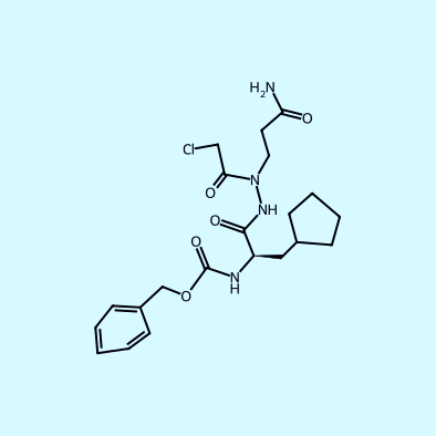 NC(=O)CCN(NC(=O)[C@@H](CC1CCCC1)NC(=O)OCc1ccccc1)C(=O)CCl